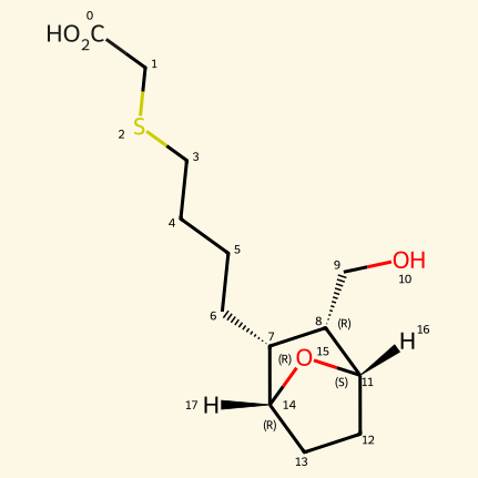 O=C(O)CSCCCC[C@@H]1[C@H](CO)[C@@H]2CC[C@H]1O2